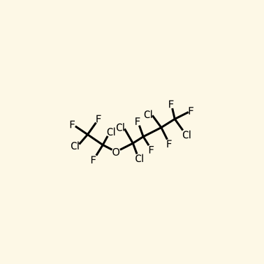 FC(F)(Cl)C(F)(Cl)OC(Cl)(Cl)C(F)(F)C(F)(Cl)C(F)(F)Cl